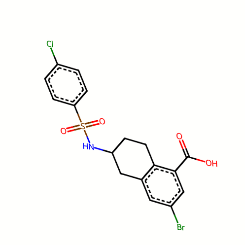 O=C(O)c1cc(Br)cc2c1CCC(NS(=O)(=O)c1ccc(Cl)cc1)C2